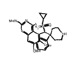 CNc1nc(N)c2c(C(C3(c4ccccc4)CCNCC3)S(=O)(=O)C3CC3)c(OC)c(OC)cc2n1